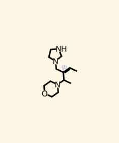 C/C=C(/CN1CCNC1)C(C)N1CCOCC1